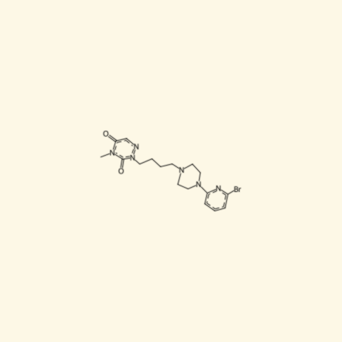 Cn1c(=O)cnn(CCCCN2CCN(c3cccc(Br)n3)CC2)c1=O